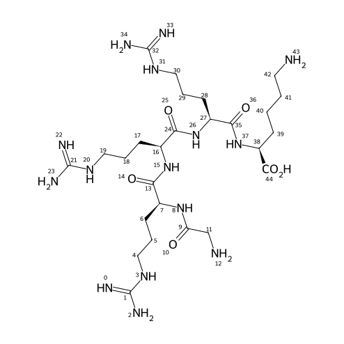 N=C(N)NCCC[C@H](NC(=O)CN)C(=O)N[C@@H](CCCNC(=N)N)C(=O)N[C@@H](CCCNC(=N)N)C(=O)N[C@@H](CCCCN)C(=O)O